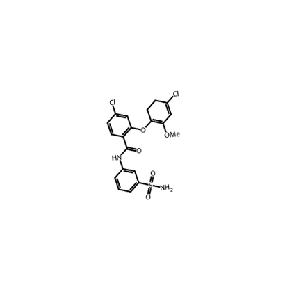 COC1=C(Oc2cc(Cl)ccc2C(=O)Nc2cccc(S(N)(=O)=O)c2)CCC(Cl)=C1